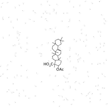 CC(=O)OC1CCC2(C)C(CCC3(C)C2CC=C2C4CC(C)(C)CCC4(C)CCC23C)C1(C)C(=O)O